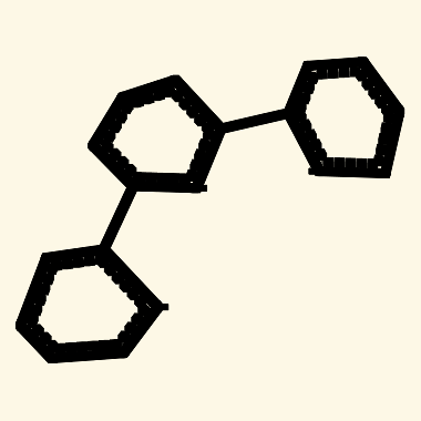 [c]1ccccc1-c1[c]c(-c2[c]cccc2)ccc1